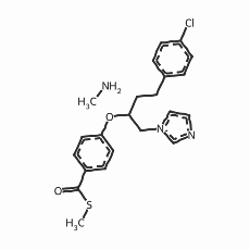 CN.CSC(=O)c1ccc(OC(CCc2ccc(Cl)cc2)Cn2ccnc2)cc1